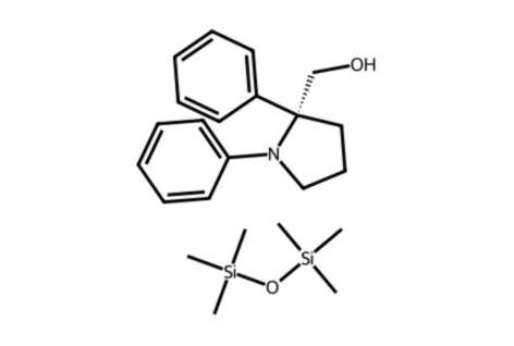 C[Si](C)(C)O[Si](C)(C)C.OC[C@]1(c2ccccc2)CCCN1c1ccccc1